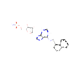 NS(=O)(=O)OC[C@H]1O[C@@H](n2cnc3c(NCc4cccc5ccccc45)ncnc32)[C@H](O)[C@@H]1O